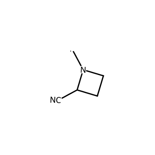 [CH2]N1CCC1C#N